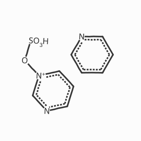 O=S(=O)(O)O[n+]1cccnc1.c1ccncc1